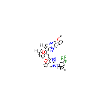 COc1cc(C)c(CNC2(c3cnccc3-c3ccccc3OC3CC3)CC2)cc1C(C)CC1CC1Oc1ccccc1-c1ccncc1C1(NCc2cc(C(F)(F)F)ccc2C)CC1